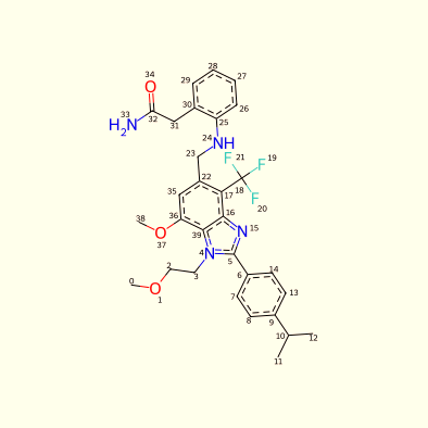 COCCn1c(-c2ccc(C(C)C)cc2)nc2c(C(F)(F)F)c(CNc3ccccc3CC(N)=O)cc(OC)c21